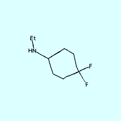 CCNC1CCC(F)(F)CC1